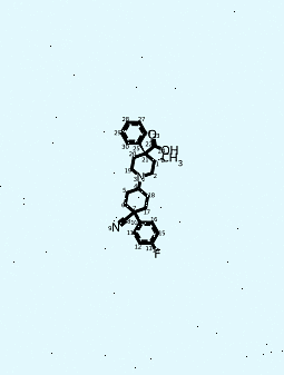 C[C@@H]1CN(C2CCC(C#N)(c3ccc(F)cc3)CC2)CC[C@@]1(C(=O)O)c1ccccc1